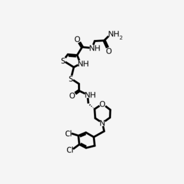 NC(=O)CNC(=O)C1=CSC(SCC(=O)NC[C@H]2CN(CC3C=C(Cl)C(Cl)=CC3)CCO2)N1